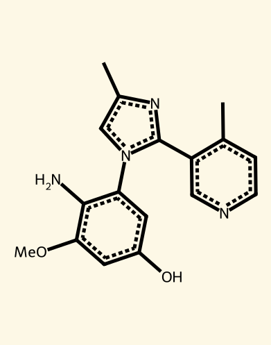 COc1cc(O)cc(-n2cc(C)nc2-c2cnccc2C)c1N